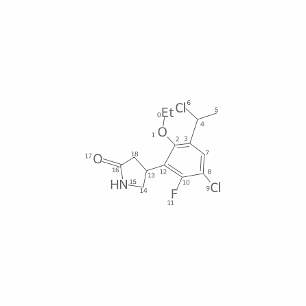 CCOc1c(C(C)Cl)cc(Cl)c(F)c1C1CNC(=O)C1